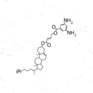 CC(C)CCCC(C)C1CCC2C3CC=C4CC(OC(=O)/C=C/COC(=O)c5cc(N)cc(N)c5)CCC4(C)C3CCC12C